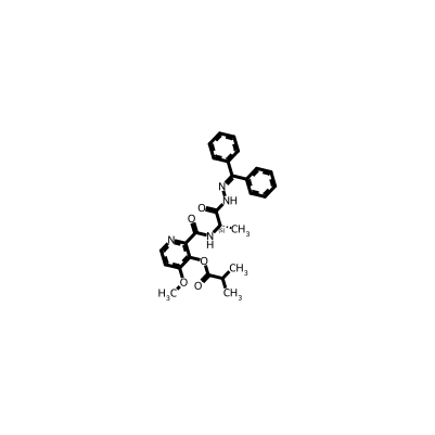 COc1ccnc(C(=O)N[C@@H](C)C(=O)NN=C(c2ccccc2)c2ccccc2)c1OC(=O)C(C)C